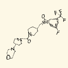 O=C(NCC1CCN(C(=O)CN2CCC(N3CCOCC3)CC2)CC1)c1cc(F)cc(C(F)(F)F)c1